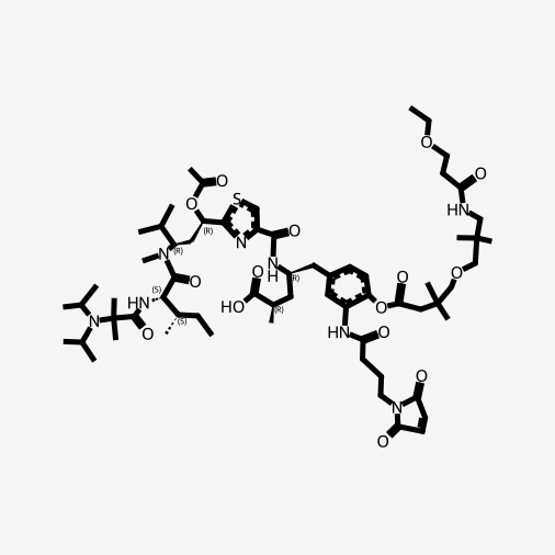 CCOCCC(=O)NCC(C)(C)COCC(C)(C)CC(=O)Oc1ccc(C[C@@H](C[C@@H](C)C(=O)O)NC(=O)c2csc([C@@H](C[C@H](C(C)C)N(C)C(=O)[C@@H](NC(=O)C(C)(C)N(C(C)C)C(C)C)[C@@H](C)CC)OC(C)=O)n2)cc1NC(=O)CCCN1C(=O)C=CC1=O